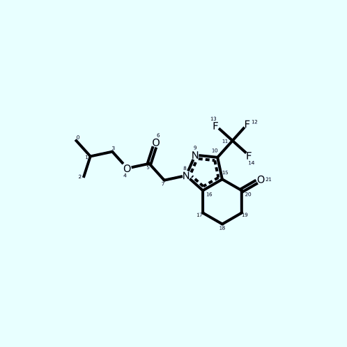 CC(C)COC(=O)Cn1nc(C(F)(F)F)c2c1CCCC2=O